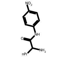 CCCC(N)C(=O)Nc1ccc([N+](=O)[O-])cc1